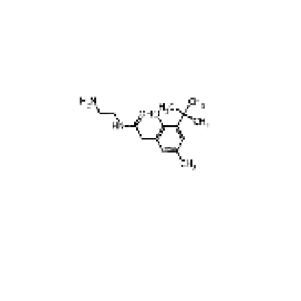 Cc1cc(CC(=O)NCCN)c(O)c(C(C)(C)C)c1